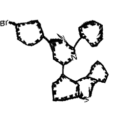 Brc1ccc(-c2cc(-c3cccc4sc5ccccc5c34)nc(-c3ccccc3)n2)cc1